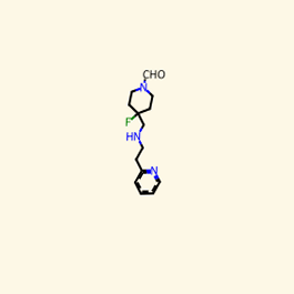 O=CN1CCC(F)(CNCCc2ccccn2)CC1